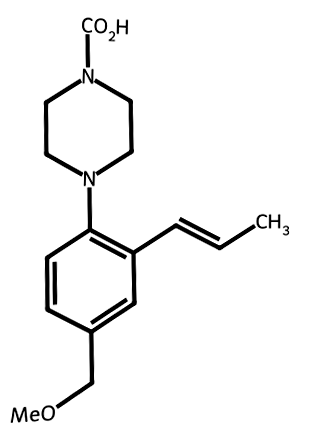 CC=Cc1cc(COC)ccc1N1CCN(C(=O)O)CC1